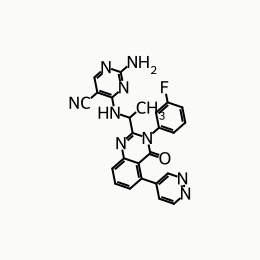 CC(Nc1nc(N)ncc1C#N)c1nc2cccc(-c3ccnnc3)c2c(=O)n1-c1cccc(F)c1